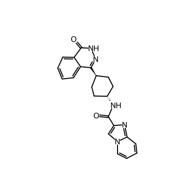 O=C(N[C@H]1CC[C@H](c2n[nH]c(=O)c3ccccc32)CC1)c1cn2ccccc2n1